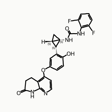 O=C1CCc2c(Oc3ccc(O)c([C@@H]4[C@@H]5C[C@@]45NC(=O)Nc4c(F)cccc4F)c3)ccnc2N1